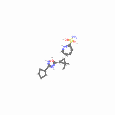 CC1(C)[C@@H](c2ccc(S(N)(=O)=O)nc2)[C@@H]1c1nc(C2CCCC2)no1